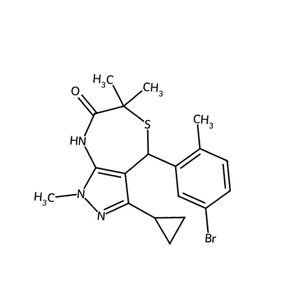 Cc1ccc(Br)cc1C1SC(C)(C)C(=O)Nc2c1c(C1CC1)nn2C